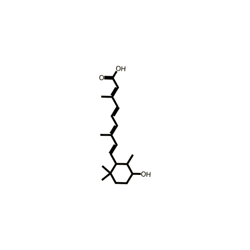 CC(/C=C/C1C(C)C(O)CCC1(C)C)=C\C=C\C(C)=C\C(=O)O